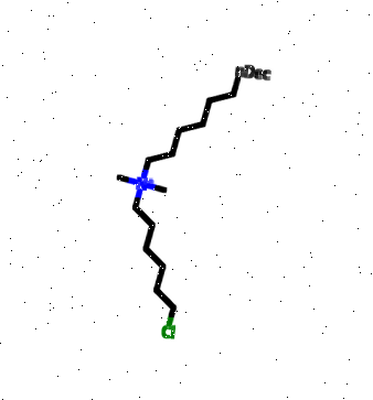 CCCCCCCCCCCCCCCC[N+](C)(C)CCCCCCCl